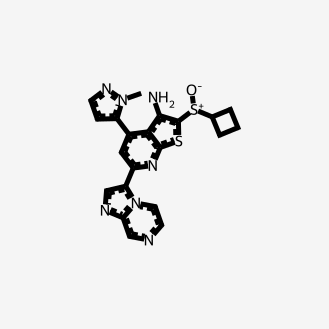 Cn1nccc1-c1cc(-c2cnc3cnccn23)nc2sc([S+]([O-])C3CCC3)c(N)c12